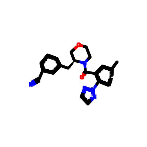 Cc1ccc(-n2nccn2)c(C(=O)N2CCOC[C@H]2Cc2cccc(C#N)c2)c1